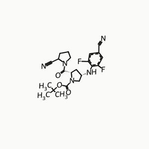 CC(C)(C)OC(=O)N1C[C@@H](Nc2c(F)cc(C#N)cc2F)C[C@H]1C(=O)N1CCCC1C#N